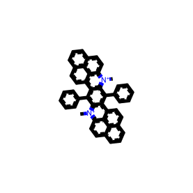 C[n+]1c2ccc3cccc4ccc(c5c(-c6ccccc6)c6c(c(-c7ccccc7)c51)c1ccc5cccc7ccc(c1c57)[n+]6C)c2c43